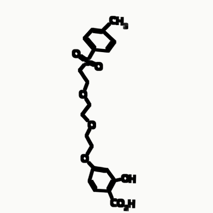 Cc1ccc(S(=O)(=O)CCOCCOCCOc2ccc(C(=O)O)c(O)c2)cc1